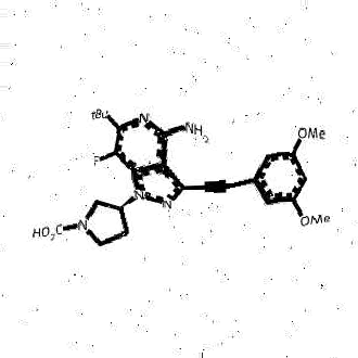 COc1cc(C#Cc2nn([C@H]3CCN(C(=O)O)C3)c3c(F)c(C(C)(C)C)nc(N)c23)cc(OC)c1